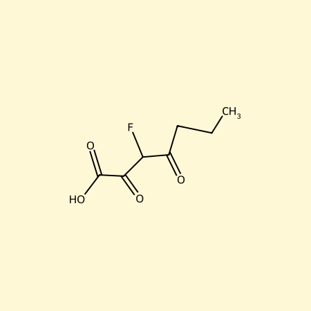 CCCC(=O)C(F)C(=O)C(=O)O